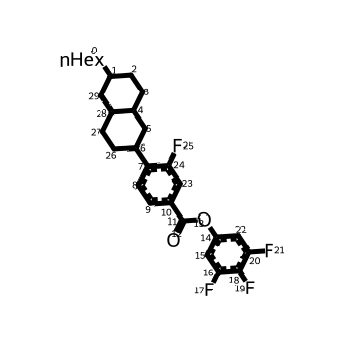 CCCCCCC1CCC2CC(c3ccc(C(=O)Oc4cc(F)c(F)c(F)c4)cc3F)CCC2C1